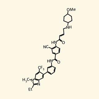 CCc1nc2cc(-c3cccc(NC(=O)c4ccc(NC(=O)/C=C/CNC5CCC(OC)CC5)c(C#N)c4)c3)c(C(F)(F)F)cc2n1C